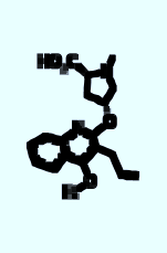 C=CCc1c(O[C@@H]2C[C@@H](C(=O)O)N(C)C2)nc2ccccc2c1OCC